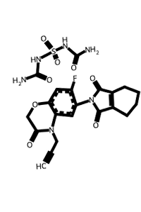 C#CCN1C(=O)COc2cc(F)c(N3C(=O)C4=C(CCCC4)C3=O)cc21.NC(=O)NS(=O)(=O)NC(N)=O